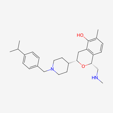 CNC[C@@H]1O[C@H](C2CCN(Cc3ccc(C(C)C)cc3)CC2)Cc2c1ccc(C)c2O